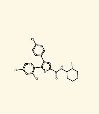 CC1CCCCC1NC(=O)c1nc(-c2ccc(Cl)cc2Cl)c(-c2ccc(Cl)cc2)s1